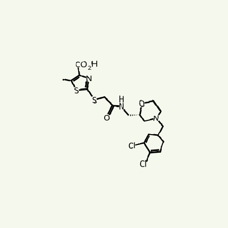 Cc1sc(SCC(=O)NC[C@H]2CN(CC3C=C(Cl)C(Cl)=CC3)CCO2)nc1C(=O)O